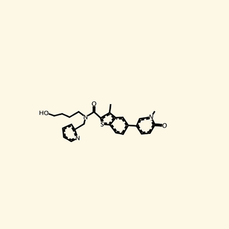 Cc1c(C(=O)N(CCCCO)Cc2ccccn2)sc2ccc(-c3ccc(=O)n(C)c3)cc12